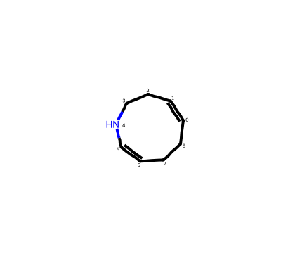 C1=CCCNC=CCC1